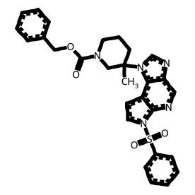 CC1(n2cnc3cnc4c(ccn4S(=O)(=O)c4ccccc4)c32)CCCN(C(=O)OCc2ccccc2)C1